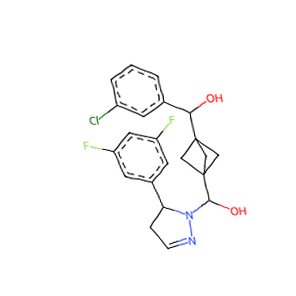 OC(c1cccc(Cl)c1)C12CC(C(O)N3N=CCC3c3cc(F)cc(F)c3)(C1)C2